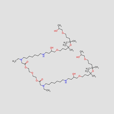 CCN(CCCCCCCNCCC(O)COCCC[Si](C)(C)O[Si](C)(C)CCCOCC(C)O)CC(=O)OCCOCCOC(=O)CN(CC)CCCCCCCNCCC(O)COCCC[Si](C)(C)O[Si](C)(C)CCCOCC(C)O